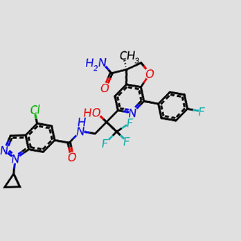 C[C@]1(C(N)=O)COc2c1cc(C(O)(CNC(=O)c1cc(Cl)c3cnn(C4CC4)c3c1)C(F)(F)F)nc2-c1ccc(F)cc1